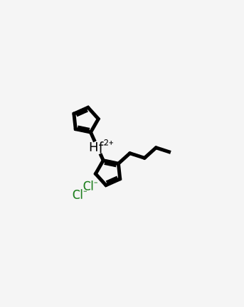 CCCCC1=[C]([Hf+2][C]2=CC=CC2)CC=C1.[Cl-].[Cl-]